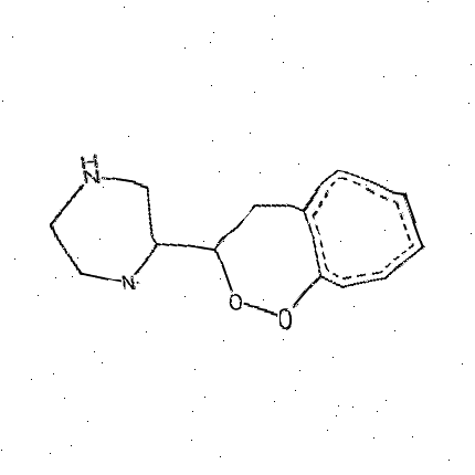 c1ccc2c(c1)CC(C1CNCC[N]1)OO2